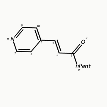 CCCCCC(=O)C=Cc1ccncc1